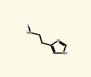 INCCc1c[nH]cn1